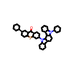 O=c1c2ccc(-n3c4ccccc4c4ccc5c(c6ccccc6n5-c5ccccc5)c43)cc2sc2ccc(-c3ccccc3)cc12